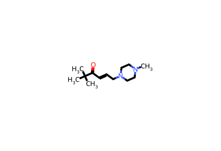 CN1CCN(C/C=C/C(=O)C(C)(C)C)CC1